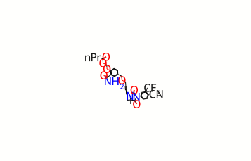 CCCC(=O)OCOc1ccc(COCC#CCN2C(=O)N(c3ccc(C#N)c(C(F)(F)F)c3)C(=O)C2(C)C)cc1C(N)=O